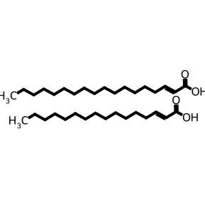 CCCCCCCCCCCCCC=CC(=O)O.CCCCCCCCCCCCCCCC=CC(=O)O